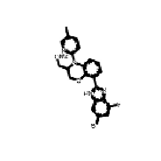 COCC1COc2c(-c3nc4c(F)cc(Br)cc4[nH]3)cccc2N1c1ccc(C)cn1